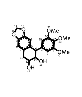 COc1cc(C2c3cc4c(cc3CC(O)C2O)OCO4)cc(OC)c1OC